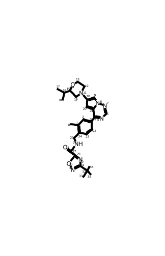 Cc1cc(-c2ncnn3cc(N4CCOC(C(C)C)C4)cc23)ccc1CNC(=O)c1nc(C(C)(C)C)no1